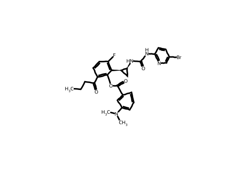 CCCC(=O)c1ccc(F)c([C@@H]2C[C@@H]2NC(=O)Nc2ccc(Br)cn2)c1OC(=O)c1cccc(N(C)C)c1